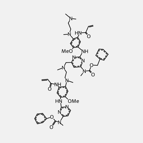 C=CC(=O)Nc1cc(Nc2nc(CN(C)CCN(C)c3cc(OC)c(Nc4nccc(N(C)C(=O)Oc5ccccc5)n4)cc3NC(=O)C=C)cc(N(C)C(=O)OCc3ccccc3)n2)c(OC)cc1N(C)CCN(C)C